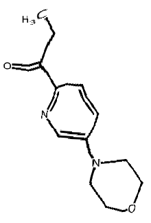 CCC(=O)c1ccc(N2CCOCC2)cn1